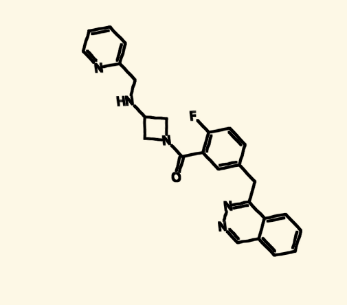 O=C(c1cc(Cc2nncc3ccccc23)ccc1F)N1CC(NCc2ccccn2)C1